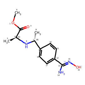 COC(=O)[C@H](C)N[C@H](C)c1ccc(/C(N)=N/O)cc1